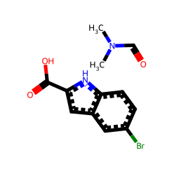 CN(C)C=O.O=C(O)c1cc2cc(Br)ccc2[nH]1